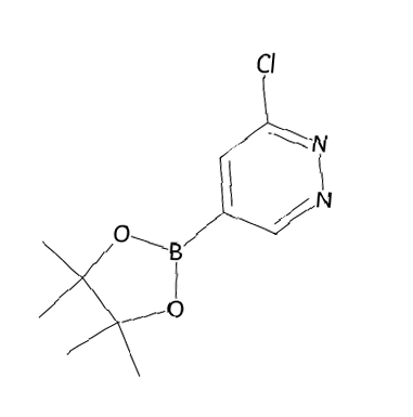 CC1(C)OB(c2cnnc(Cl)c2)OC1(C)C